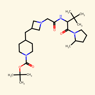 CC1CCCN1C(=O)C(NC(=O)CN1CC(CC2CCN(C(=O)OC(C)(C)C)CC2)C1)C(C)(C)C